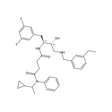 CCc1cccc(CNC[C@@H](O)[C@H](Cc2cc(F)cc(F)c2)NC(=O)CCC(=O)N(c2ccccc2)C(C)C2CC2)c1